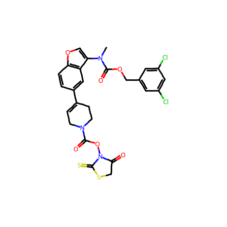 CN(C(=O)OCc1cc(Cl)cc(Cl)c1)c1coc2ccc(C3=CCN(C(=O)ON4C(=O)CSC4=S)CC3)cc12